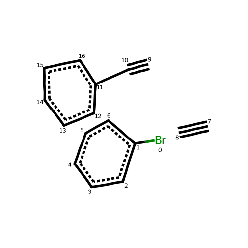 Brc1ccccc1.C#C.C#Cc1ccccc1